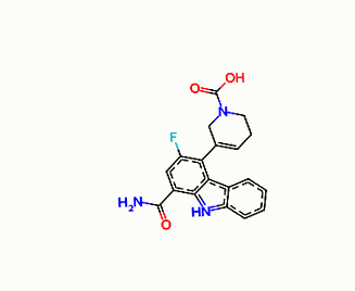 NC(=O)c1cc(F)c(C2=CCCN(C(=O)O)C2)c2c1[nH]c1ccccc12